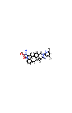 CC(=C1c2ccccc2CCc2cc(Cn3c(C4CC4)nc4c(C)cc(C)nc43)ccc21)c1noc(=O)[nH]1